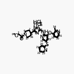 COCC(=O)N1CCC(c2nsc(Nc3ncc(Sc4ccccn4)cc3Oc3cccnc3C)n2)CC1.Cl.Cl